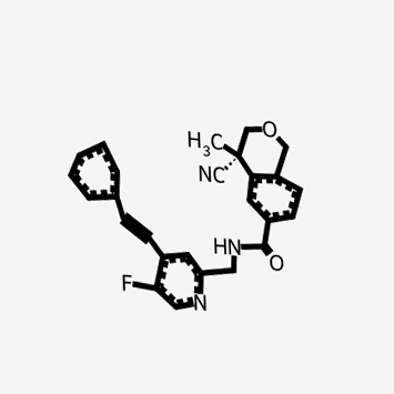 C[C@@]1(C#N)COCc2ccc(C(=O)NCc3cc(C#Cc4ccccc4)c(F)cn3)cc21